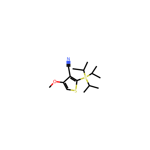 COc1csc(S(C(C)C)(C(C)C)C(C)C)c1C#N